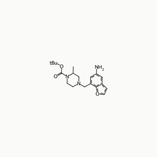 CC1CN(Cc2cc(N)cc3ccoc23)CCN1C(=O)OC(C)(C)C